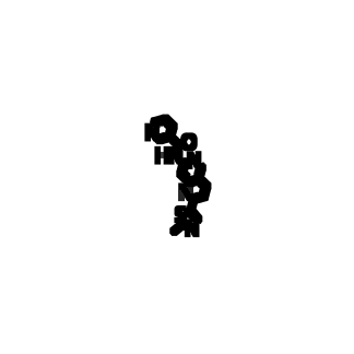 Cc1ncc(-c2ccc3cnc(NC(=O)c4cccnc4)cc3n2)s1